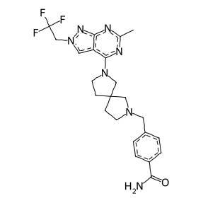 Cc1nc(N2CCC3(CCN(Cc4ccc(C(N)=O)cc4)C3)C2)c2cn(CC(F)(F)F)nc2n1